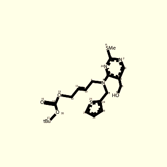 CSc1ncc(CO)c(N(CC=CCOC(=O)OC(C)(C)C)Cc2cccs2)n1